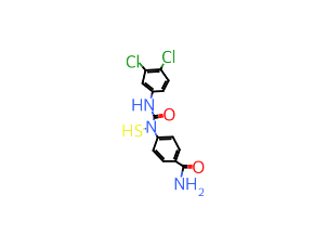 NC(=O)c1ccc(N(S)C(=O)Nc2ccc(Cl)c(Cl)c2)cc1